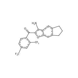 Nc1c(C(=O)c2ccc(C(F)(F)F)cc2C(F)(F)F)oc2cc3c(cc12)CCC3